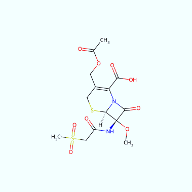 CO[C@@]1(NC(=O)CS(C)(=O)=O)C(=O)N2C(C(=O)O)=C(COC(C)=O)CS[C@@H]21